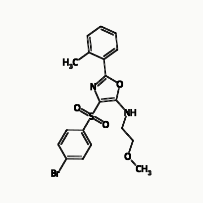 COCCNc1oc(-c2ccccc2C)nc1S(=O)(=O)c1ccc(Br)cc1